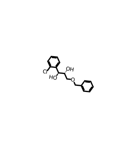 O[C@H](COCc1ccccc1)[C@@H](O)c1ccccc1Cl